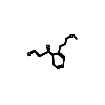 CCCCc1ccccc1C(=O)CC=O